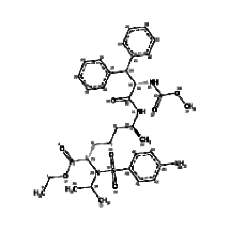 CCOC(=O)[C@H](CCC[C@H](C)NC(=O)[C@@H](NC(=O)OC)C(c1ccccc1)c1ccccc1)N(C(C)C)S(=O)(=O)c1ccc(N)cc1